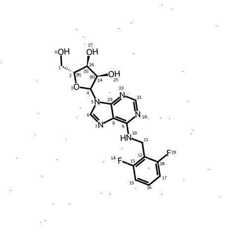 OC[C@H]1OC(n2cnc3c(NCc4c(F)cccc4F)ncnc32)[C@H](O)[C@@H]1O